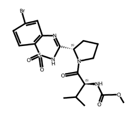 COC(=O)N[C@H](C(=O)N1CCC[C@H]1C1=Nc2cc(Br)ccc2S(=O)(=O)N1)C(C)C